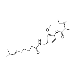 CCN(C)[C@@H](C)C(=O)Oc1ccc(CNC(=O)CCCC/C=C/C(C)C)cc1OC